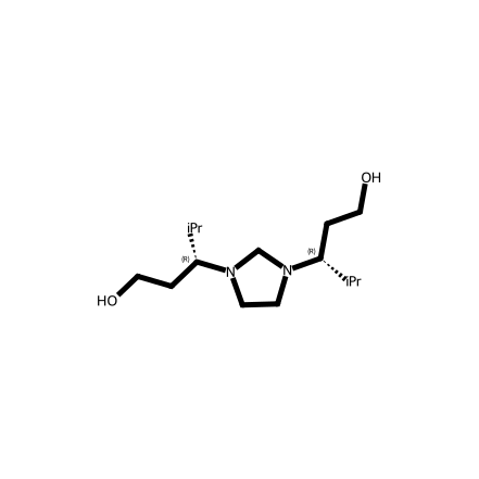 CC(C)[C@@H](CCO)N1CCN([C@H](CCO)C(C)C)C1